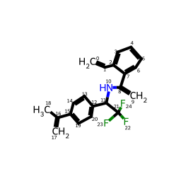 C=Cc1ccccc1C(=C)NC(c1ccc(C(=C)C)cc1)C(F)(F)F